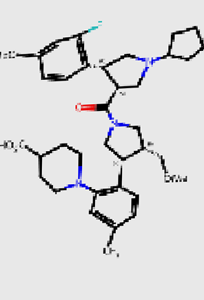 COC[C@H]1CN(C(=O)[C@@H]2CN(C3CCCC3)C[C@H]2c2ccc(OC)cc2F)C[C@@H]1c1ccc(C(F)(F)F)cc1N1CCC(C(=O)O)CC1